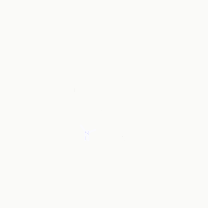 Cc1[nH]c(C(=O)O)c(-c2ccc(Cl)cc2F)c1C